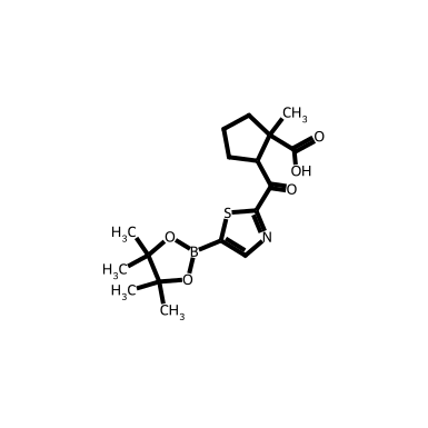 CC1(C(=O)O)CCCC1C(=O)c1ncc(B2OC(C)(C)C(C)(C)O2)s1